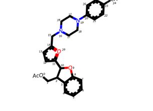 CC(=O)OCC1c2ccccc2OC1c1ccc(CN2CCN(c3ccc(C#N)cc3)CC2)o1